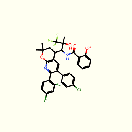 CC1(C)CC(C(NC(=O)c2ccccc2O)C(C)(O)C(F)(F)F)c2cc(-c3ccc(Cl)cc3)c(-c3ccc(Cl)cc3Cl)nc2O1